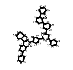 c1ccc(-c2ccc3c(c2)nc(-c2ccc(-c4nc(-c5ccccc5)cc(-c5cccc(-c6cccc7c6sc6ccccc67)c5)n4)cc2)c2sc4ccccc4c23)cc1